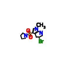 Cn1cc(S(=O)(=O)N2CCCC2)c2cc(Br)cnc21